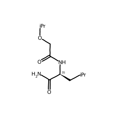 CC(C)C[C@H](NC(=O)COC(C)C)C(N)=O